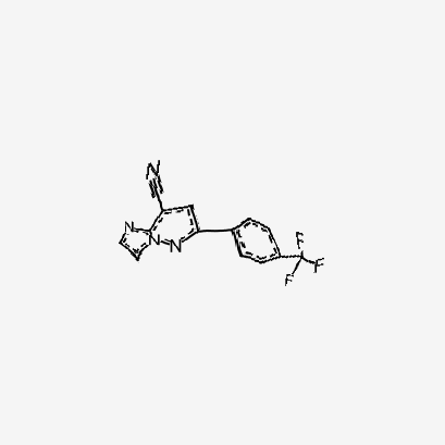 N#Cc1cc(-c2ccc(C(F)(F)F)cc2)nn2ccnc12